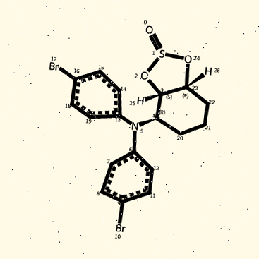 O=S1O[C@H]2[C@H](N(c3ccc(Br)cc3)c3ccc(Br)cc3)CCC[C@H]2O1